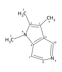 Cc1c(C)n(C)c2ccncc12